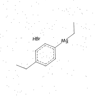 Br.C[CH2][Mg][c]1ccc(CC)cc1